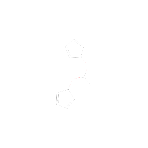 CC(OC1C=CC=C1)OC1C=CC=C1